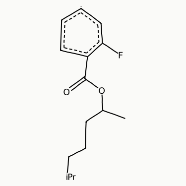 CC(C)CCCC(C)OC(=O)c1cc[c]cc1F